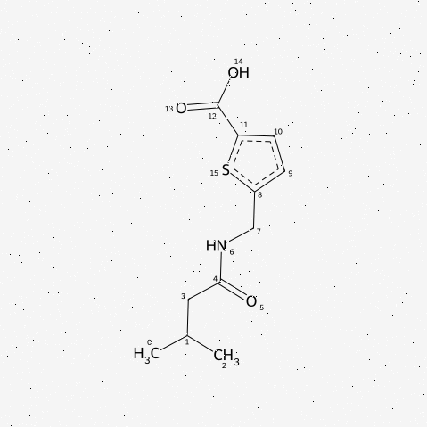 CC(C)CC(=O)NCc1ccc(C(=O)O)s1